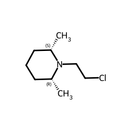 C[C@@H]1CCC[C@H](C)N1CCCl